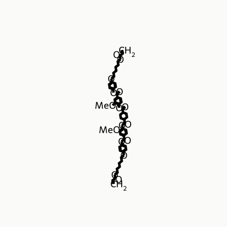 C=CC(=O)OCCCCCCOc1ccc(OC(=O)c2ccc(OC(=O)C3CCC(C(=O)Oc4ccc(C(=O)Oc5ccc(OCCCCCCOC(=O)C=C)cc5)cc4OC)CC3)c(OC)c2)cc1